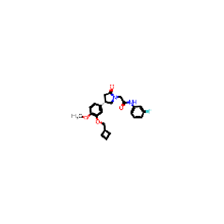 COc1ccc([C@@H]2CC(=O)N(CC(=O)Nc3cccc(F)c3)C2)cc1OCC1CCC1